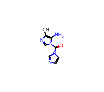 N#Cc1ncn(C(=O)n2ccnc2)c1N